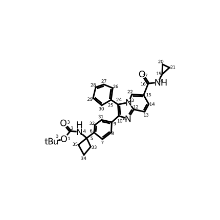 CC(C)(C)OC(=O)NC1(c2ccc(-c3nc4ccc(C(=O)NC5CC5)cn4c3-c3ccccc3)cc2)CCC1